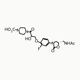 CC(=O)NC[C@H]1CN(c2ccc(OCC(O)C(=O)N3CCN(C(=O)O)CC3)c(F)c2)C(=O)O1